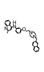 Cc1cc(Nc2cccc(OCCN3CCN(Cc4ccc5ccccc5c4)CC3)c2)c2ccccc2n1